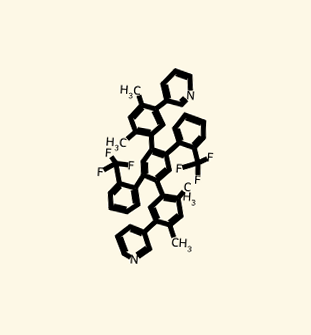 Cc1cc(C)c(-c2cc(-c3ccccc3C(F)(F)F)c(-c3cc(-c4cccnc4)c(C)cc3C)cc2-c2ccccc2C(F)(F)F)cc1-c1cccnc1